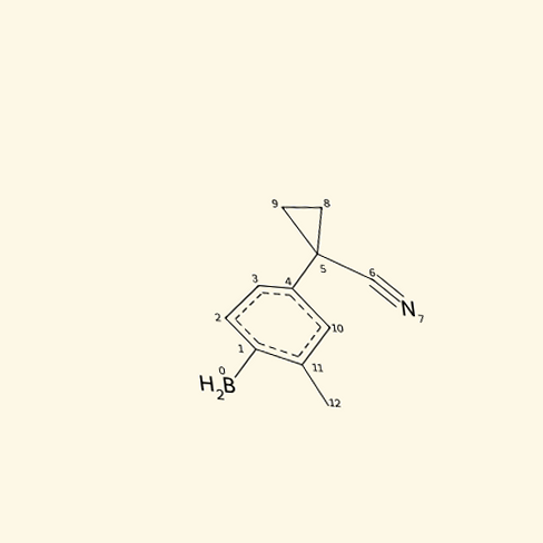 Bc1ccc(C2(C#N)CC2)cc1C